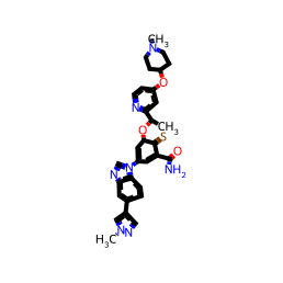 CC(OC1C=C(n2cnc3cc(-c4cnn(C)c4)ccc32)C=C(C(N)=O)C1=S)c1cc(OC2CCN(C)CC2)ccn1